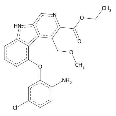 CCOC(=O)c1ncc2[nH]c3cccc(Oc4cc(Cl)ccc4N)c3c2c1COC